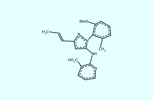 CC=Cc1cc(Nc2ncccc2C(=O)O)n(-c2c(C)cccc2OC)n1